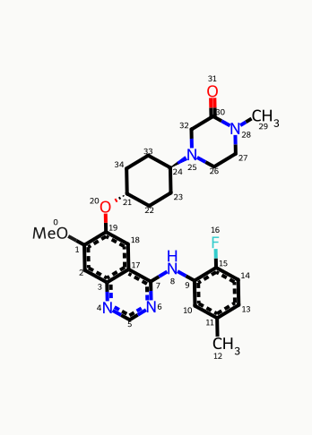 COc1cc2ncnc(Nc3cc(C)ccc3F)c2cc1O[C@H]1CC[C@H](N2CCN(C)C(=O)C2)CC1